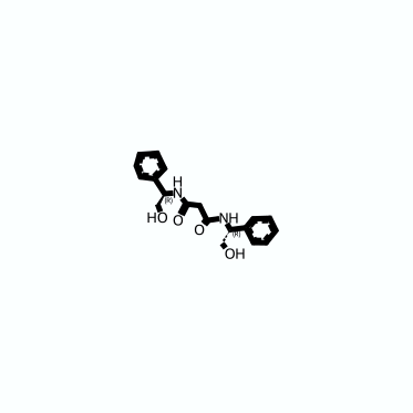 O=C(CC(=O)N[C@@H](CO)c1ccccc1)N[C@@H](CO)c1ccccc1